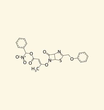 CC(=CC(=O)OC(c1ccccc1)[N+](=O)[O-])ON1C(=O)C2N=C(COc3ccccc3)SC21